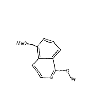 COc1cccc2c(OC(C)C)nccc12